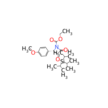 CCOC(=O)N1C(=O)[C@H](O[Si](C(C)C)(C(C)C)C(C)C)[C@@H]1c1ccc(OC)cc1